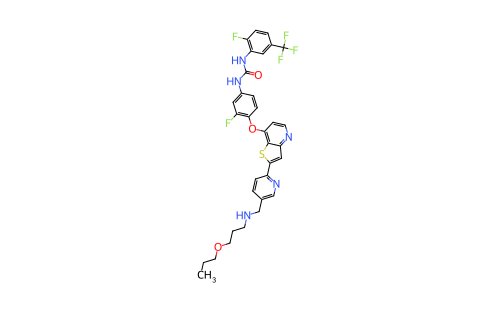 CCCOCCCNCc1ccc(-c2cc3nccc(Oc4ccc(NC(=O)Nc5cc(C(F)(F)F)ccc5F)cc4F)c3s2)nc1